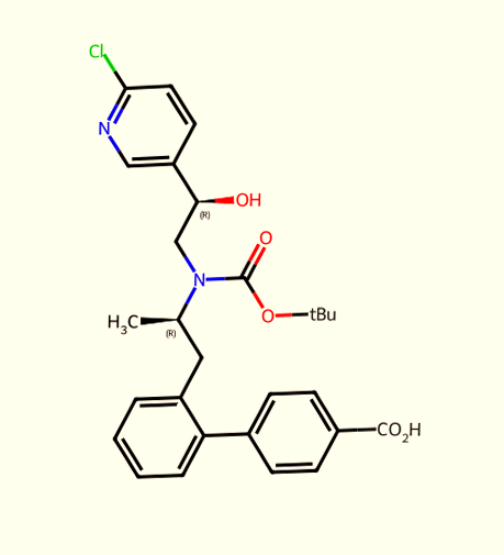 C[C@H](Cc1ccccc1-c1ccc(C(=O)O)cc1)N(C[C@H](O)c1ccc(Cl)nc1)C(=O)OC(C)(C)C